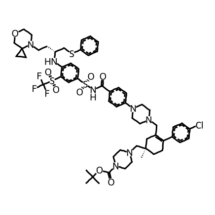 CC(C)(C)OC(=O)N1CCN(C[C@]2(C)CCC(c3ccc(Cl)cc3)=C(CN3CCN(c4ccc(C(=O)NS(=O)(=O)c5ccc(N[C@H](CCN6CCOCC67CC7)CSc6ccccc6)c(S(=O)(=O)C(F)(F)F)c5)cc4)CC3)C2)CC1